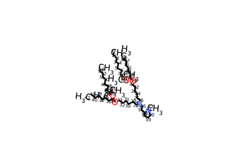 CCCCCCCC[Si](C)(C)OC(CCCCCCC)OCCCCCCN(CCCCCCOC(CCCCCCC)O[Si](C)(C)CCCCCCCC)CCC1CCCN1C